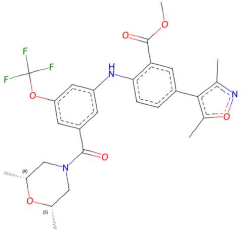 COC(=O)c1cc(-c2c(C)noc2C)ccc1Nc1cc(OC(F)(F)F)cc(C(=O)N2C[C@@H](C)O[C@@H](C)C2)c1